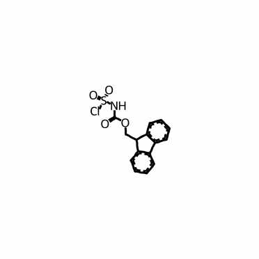 O=C(NS(=O)(=O)Cl)OCC1c2ccccc2-c2ccccc21